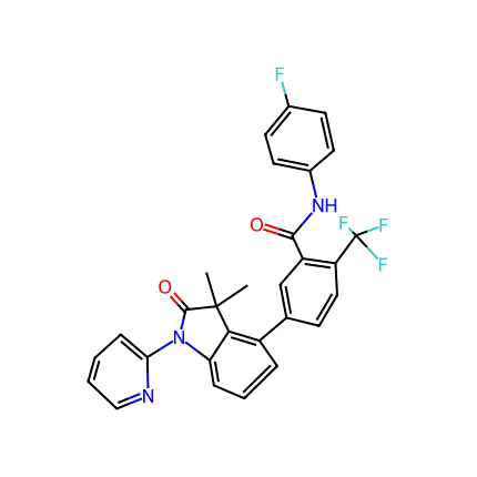 CC1(C)C(=O)N(c2ccccn2)c2cccc(-c3ccc(C(F)(F)F)c(C(=O)Nc4ccc(F)cc4)c3)c21